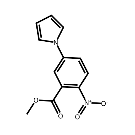 COC(=O)c1cc(-n2cccc2)ccc1[N+](=O)[O-]